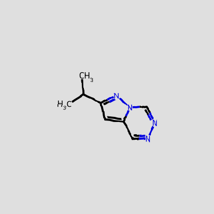 CC(C)c1cc2cnncn2n1